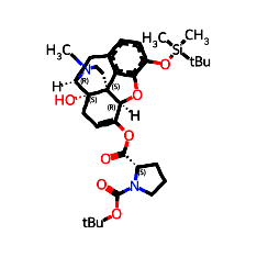 CN1CC[C@]23c4c5ccc(O[Si](C)(C)C(C)(C)C)c4O[C@H]2C(OC(=O)[C@@H]2CCCN2C(=O)OC(C)(C)C)=CC[C@@]3(O)[C@H]1C5